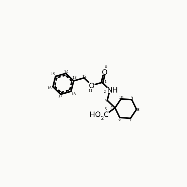 O=C(NCC1(C(=O)O)CCCCC1)OCc1ccccc1